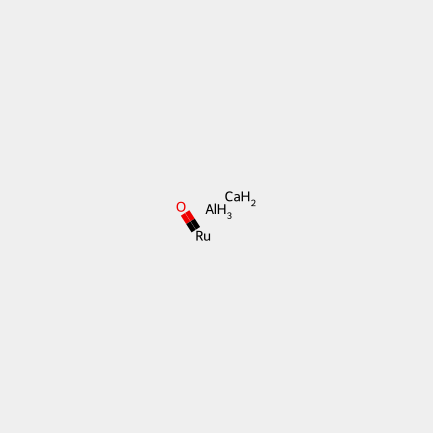 [AlH3].[CaH2].[O]=[Ru]